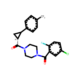 O=C(c1cc(Cl)ccc1F)N1CCN(C(=O)[C@@H]2CC2c2ccc(C(F)(F)F)cc2)CC1